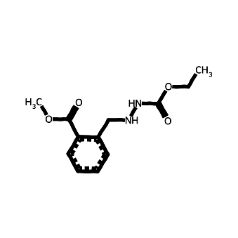 CCOC(=O)NNCc1ccccc1C(=O)OC